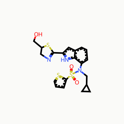 O=S(=O)(c1cccs1)N(CC1CC1)c1cccc2cc(C3=NCC(CO)S3)[nH]c12